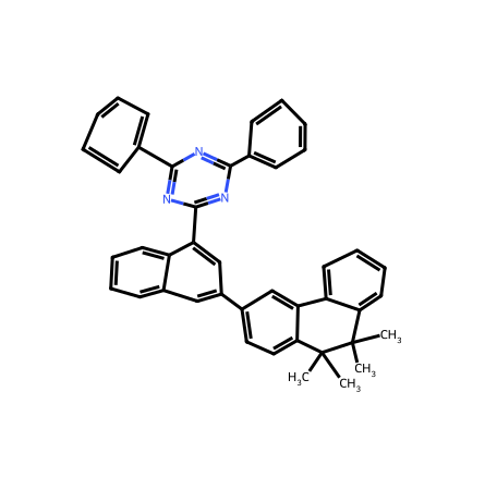 CC1(C)c2ccccc2-c2cc(-c3cc(-c4nc(-c5ccccc5)nc(-c5ccccc5)n4)c4ccccc4c3)ccc2C1(C)C